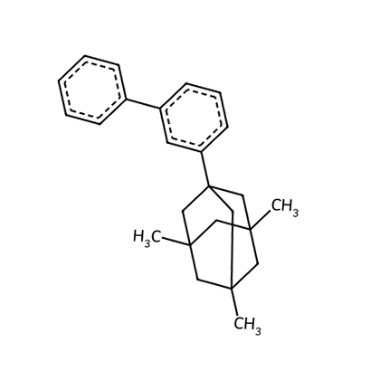 CC12CC3(C)CC(C)(C1)CC(c1cccc(-c4ccccc4)c1)(C2)C3